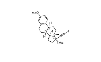 COc1ccc2c(c1)CC[C@@H]1[C@@H]2CC[C@@]2(C)[C@H]1CC[C@]2(C#CI)OC(C)=O